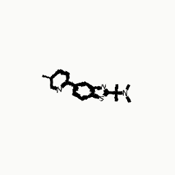 C[C@H]1CCC(c2ccc3sc(C(C)(C)N(C)C)nc3c2)=NC1